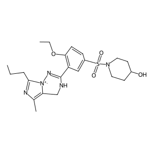 CCCC1=NC(C)=C2CNC(c3cc(S(=O)(=O)N4CCC(O)CC4)ccc3OCC)=N[N+]12